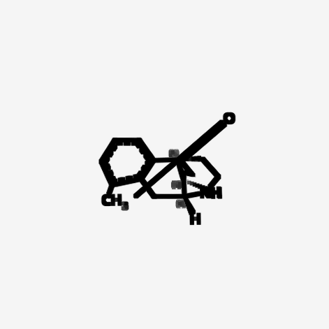 Cc1cccc2c1C[C@H]1NCC[C@@]23CC(=O)CC[C@@H]13